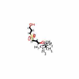 CC(C)(C)[Si](C)(C)OCCCS(=O)(=O)CCCO